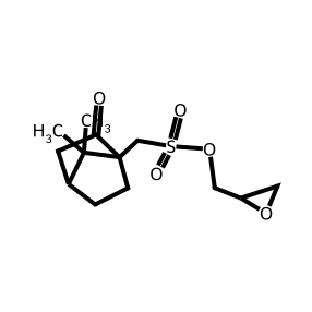 CC1(C)C2CCC1(CS(=O)(=O)OCC1CO1)C(=O)C2